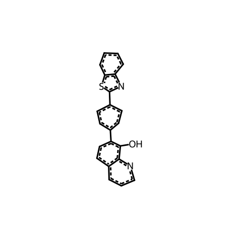 Oc1c(-c2ccc(-c3nc4ccccc4s3)cc2)ccc2cccnc12